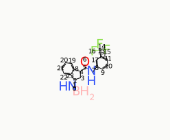 BNC1CC(C(=O)Nc2cccc(C(F)(F)F)c2)c2ccccc21